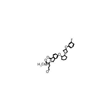 CNC(=O)C(CCC=O)N1Cc2cc(OC3CCCCC3N3CC(Oc4cccc(F)c4)C3)ccc2C1=O